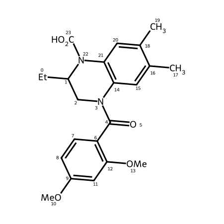 CCC1CN(C(=O)c2ccc(OC)cc2OC)c2cc(C)c(C)cc2N1C(=O)O